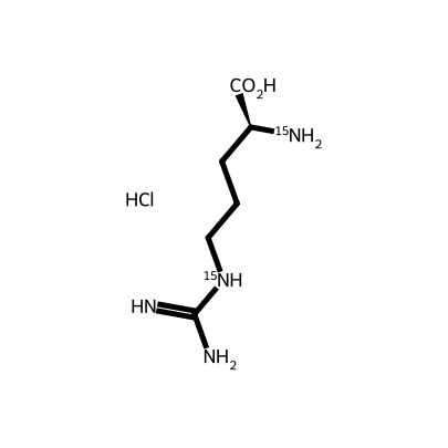 Cl.N=C(N)[15NH]CCC[C@H]([15NH2])C(=O)O